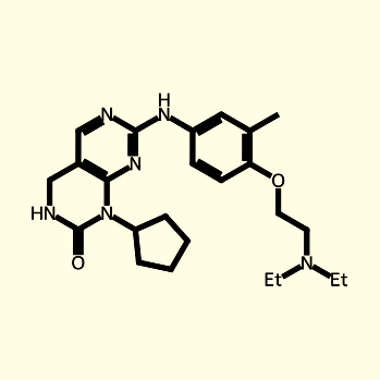 CCN(CC)CCOc1ccc(Nc2ncc3c(n2)N(C2CCCC2)C(=O)NC3)cc1C